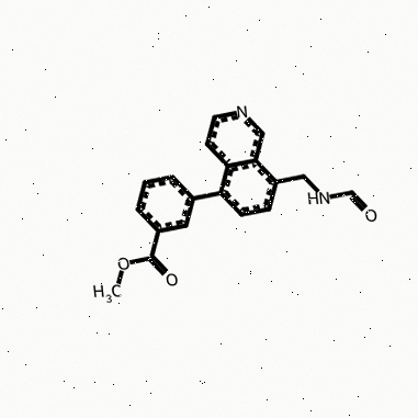 COC(=O)c1cccc(-c2ccc(CNC=O)c3cnccc23)c1